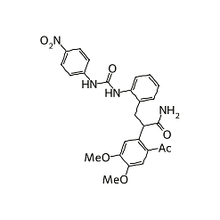 COc1cc(C(C)=O)c(C(Cc2ccccc2NC(=O)Nc2ccc([N+](=O)[O-])cc2)C(N)=O)cc1OC